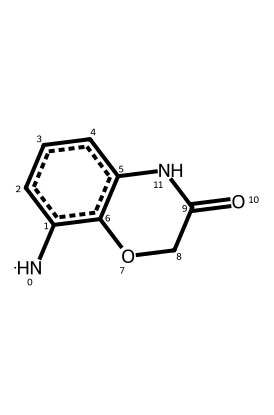 [NH]c1cccc2c1OCC(=O)N2